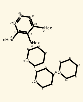 C1CCOCC1.C1CCOCC1.C1CCOCC1.CCCCCCc1bbbc(CCCCCC)c1CCCCCC